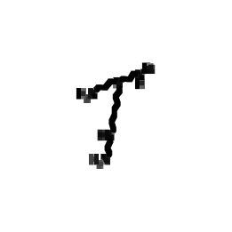 CCNCCCN(CCCN)CCCCCCCNCCCN